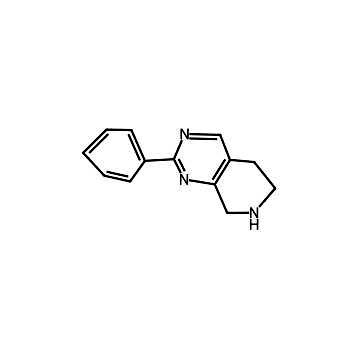 c1ccc(-c2ncc3c(n2)CNCC3)cc1